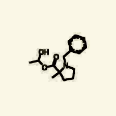 CC(O)OC(=O)C1(C)CCCN1Cc1ccccc1